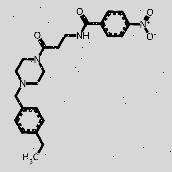 CCc1ccc(CN2CCN(C(=O)CCNC(=O)c3ccc([N+](=O)[O-])cc3)CC2)cc1